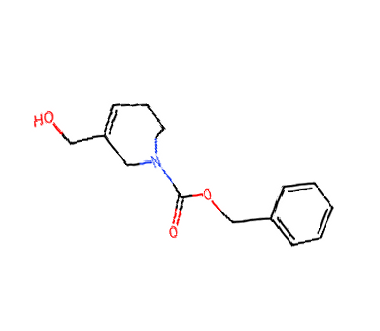 O=C(OCc1ccccc1)N1CCC=C(CO)C1